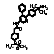 CN(C1CCC(CC(=O)Nc2cnc(-c3ccc(C(C)(C)N)cc3)c(-c3ccccc3)c2)CC1)S(C)(=O)=O